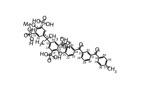 COc1c(P(=O)(O)O)cc(C(C)(C)c2cc(P(=O)(O)O)c(Oc3ccc(C(=O)c4cccc(C(=O)c5ccc(C)cc5)c4)cc3)c(P(=O)(O)O)c2)cc1P(=O)(O)O